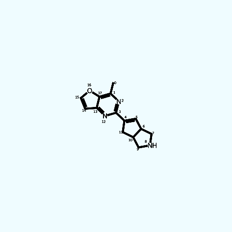 Cc1nc(C2=CC3CNCC3C2)nc2ccoc12